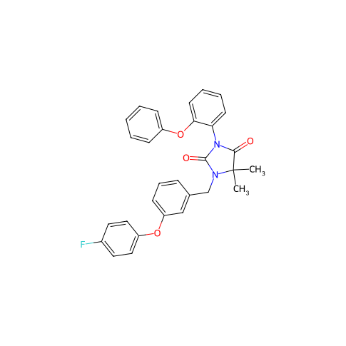 CC1(C)C(=O)N(c2ccccc2Oc2ccccc2)C(=O)N1Cc1cccc(Oc2ccc(F)cc2)c1